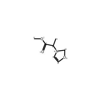 COC(=O)C(C)N1C=COC1